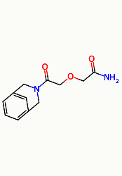 NC(=O)COCC(=O)N1Cc2cccc(c2)C1